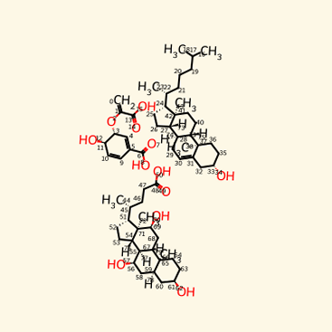 C=C(O[C@@H]1C=C(C(=O)O)C=C[C@H]1O)C(=O)O.CC(C)CCC[C@@H](C)[C@H]1CC[C@H]2[C@@H]3CC=C4C[C@@H](O)CC[C@]4(C)[C@H]3CC[C@]12C.C[C@H](CCC(=O)O)[C@H]1CC[C@H]2[C@@H]3[C@H](O)C[C@@H]4C[C@H](O)CC[C@]4(C)[C@H]3C[C@H](O)[C@]12C